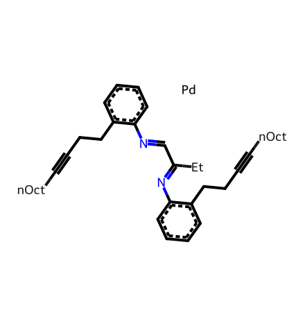 CCCCCCCCC#CCCc1ccccc1N=CC(CC)=Nc1ccccc1CCC#CCCCCCCCC.[Pd]